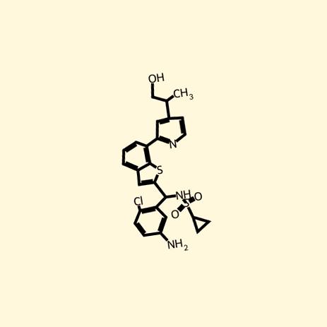 CC(CO)c1ccnc(-c2cccc3cc(C(NS(=O)(=O)C4CC4)c4cc(N)ccc4Cl)sc23)c1